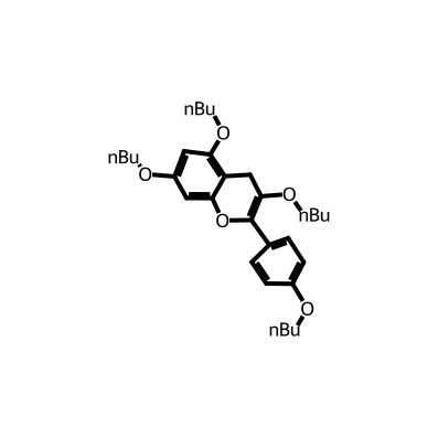 CCCCOC1=C(c2ccc(OCCCC)cc2)Oc2cc(OCCCC)cc(OCCCC)c2C1